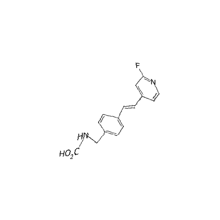 O=C(O)NCc1ccc(C=Cc2ccnc(F)c2)cc1